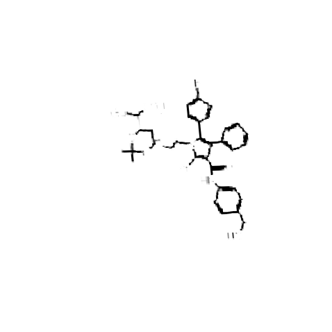 CC(C)c1c(C(=O)Nc2ccc(CO)cc2)c(-c2ccccc2)c(-c2ccc(F)cc2)n1CC[C@@H]1C[C@H](C(C(=O)O)C(C)(C)C)OC(C)(C)O1